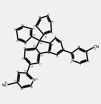 N#Cc1ccnc(-c2ccc3c(c2)-c2cc(-c4cc(C#N)ccn4)ccc2C3(c2ccccc2)c2ccccc2)c1